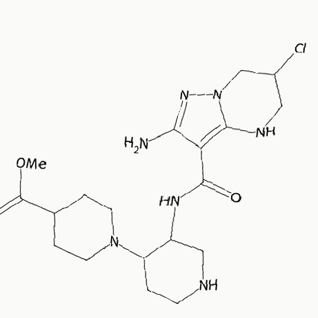 COC(=O)C1CCN(C2CCNCC2NC(=O)c2c(N)nn3c2NCC(Cl)C3)CC1